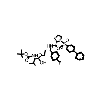 CC(C)[C@H](NC(=O)OC(C)(C)C)C(O)OCC[C@H](NC(=O)[C@@H]1SCCN1S(=O)(=O)c1ccc(-c2ccccc2)cc1)c1ccc(F)cc1